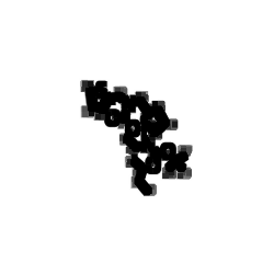 CCCC[C@H](COC(=O)N(Cc1cccs1)Cc1cccs1)NC(=O)OC(C)(C)C